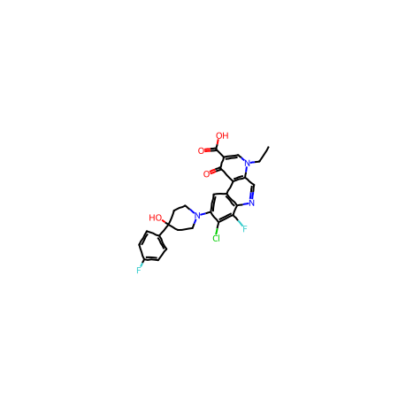 CCn1cc(C(=O)O)c(=O)c2c3cc(N4CCC(O)(c5ccc(F)cc5)CC4)c(Cl)c(F)c3ncc21